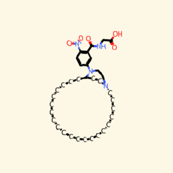 O=C(O)CNC(=O)c1cc(N2CCN3CCCCCCCCCCCCCCCCCCCCCC2CC3)ccc1[N+](=O)[O-]